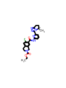 CCOC(=O)N1CCc2cc(F)c(C(=O)Nc3cccc(-c4nnc5n4[C@H](C)CC5)n3)cc2C1